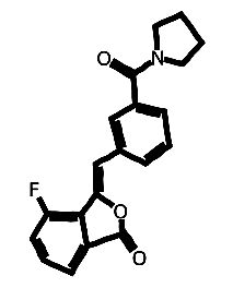 O=C1OC(=Cc2cccc(C(=O)N3CCCC3)c2)c2c(F)cccc21